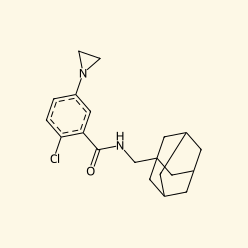 O=C(NCC12CC3CC(CC(C3)C1)C2)c1cc(N2CC2)ccc1Cl